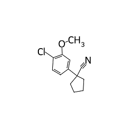 COc1cc(C2(C#N)CCCC2)ccc1Cl